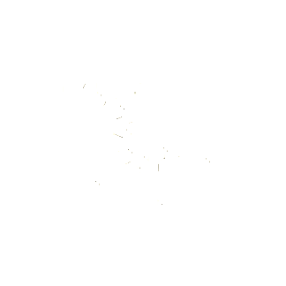 CC(C)NCCCC[C@H](NC(=O)[C@H](CCCCN)NC(=O)[C@@H](N)CCCCN)C(=O)N1CCC[C@H]1C(=O)N1C[C@H](O)C[C@H]1C(=O)NCC(=O)O